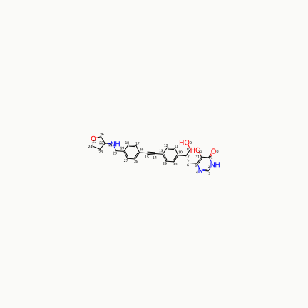 O=c1[nH]cnc(C[C@@H](CO)c2ccc(C#Cc3ccc(CN[C@H]4CCOC4)cc3)cc2)c1O